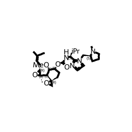 CO[C@@H]1[C@H](OC(=O)N[C@H](c2nccn2C[C@@H]2CCCN2C)C(C)C)CC[C@]2(CO2)[C@H]1[C@@]1(C)O[C@@H]1CC=C(C)C